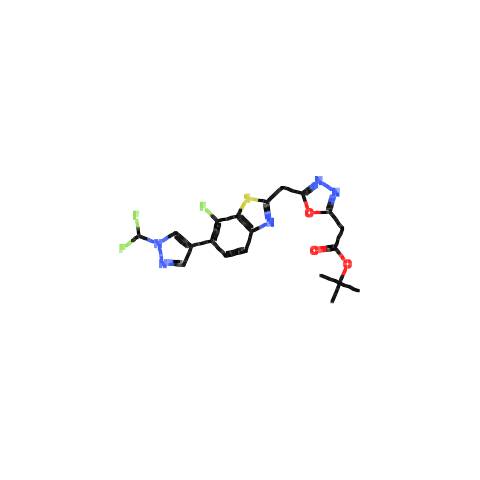 CC(C)(C)OC(=O)Cc1nnc(Cc2nc3ccc(-c4cnn(C(F)F)c4)c(F)c3s2)o1